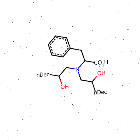 CCCCCCCCCCC(O)CN(CC(O)CCCCCCCCCC)C(Cc1ccccc1)C(=O)O